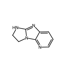 c1cnc2c(c1)nc1n2CCN1